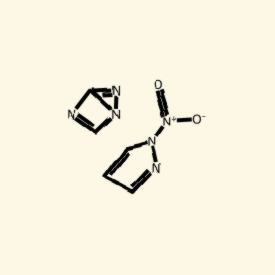 O=[N+]([O-])n1cccn1.c1nc2nn1-2